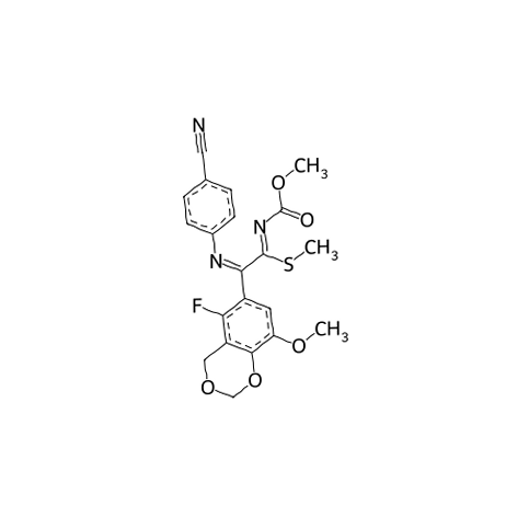 COC(=O)N=C(SC)C(=Nc1ccc(C#N)cc1)c1cc(OC)c2c(c1F)COCO2